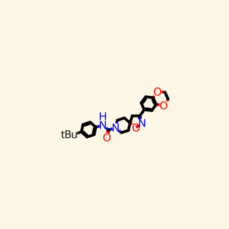 CC(C)(C)c1ccc(NC(=O)N2CCC3(CC2)CC(c2ccc4c(c2)OCCO4)=NO3)cc1